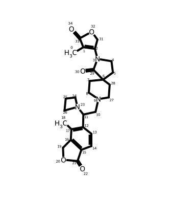 CC1=C(N2CCC3(CCN(CC(c4ccc5c(c4C)COC5=O)N4CCC4)CC3)C2=O)COC1=O